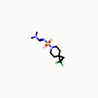 CN(C)C=NS(=O)(=O)N1CCC2(CC1)CC2(F)F